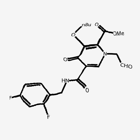 CCCCOc1c(C(=O)OC)n(CC=O)cc(C(=O)NCc2ccc(F)cc2F)c1=O